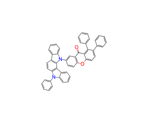 O=c1c2cc(-n3c4ccccc4c4ccc5c(c6ccccc6n5-c5ccccc5)c43)ccc2oc2ccc(-c3ccccc3)c(-c3ccccc3)c12